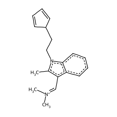 Cc1c(C=[N+](C)C)c2ccccc2n1CCC1C=CC=C1